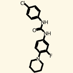 O=C(Nc1ccc(Cl)cc1)Nc1ccc(N2CCCCC2)c(F)c1